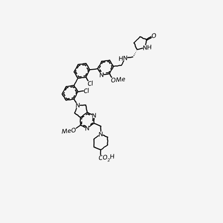 COc1nc(-c2cccc(-c3cccc(N4Cc5nc(CN6CCC(C(=O)O)CC6)nc(OC)c5C4)c3Cl)c2Cl)ccc1CNC[C@@H]1CCC(=O)N1